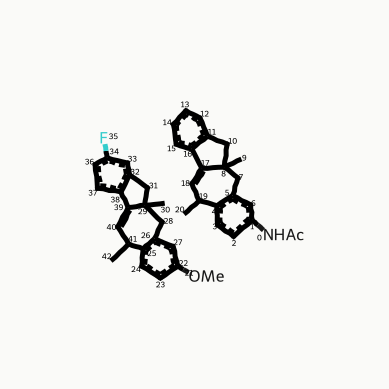 CC(=O)Nc1ccc2c(c1)CC1(C)Cc3ccccc3C1=CC2C.COc1ccc2c(c1)CC1(C)Cc3cc(F)ccc3C1=CC2C